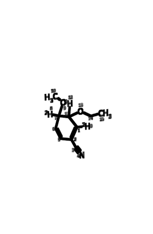 [2H]C1=C(C#N)C=CC([2H])(OC)C1([2H])OCC